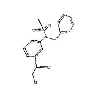 CS(=O)(=O)N(Cc1ccccc1)c1cccc(C(=O)CCl)c1